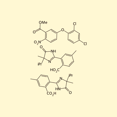 COC(=O)c1cc(Oc2ccc(Cl)cc2Cl)ccc1[N+](=O)[O-].Cc1ccc(C(=O)O)c(C2=NC(C)(C(C)C)C(=O)N2)c1.Cc1ccc(C2=NC(C)(C(C)C)C(=O)N2)c(C(=O)O)c1